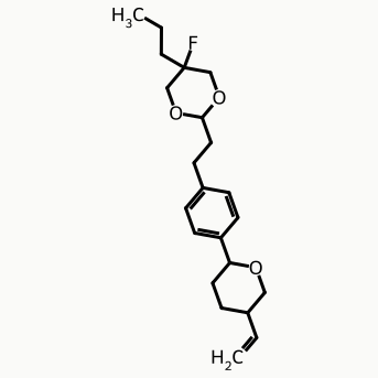 C=CC1CCC(c2ccc(CCC3OCC(F)(CCC)CO3)cc2)OC1